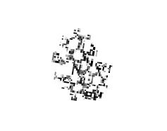 Oc1ccc(Br)cc1-c1nc2c(Br)c3ccccc3c(Br)c2nc1-c1cc(Br)ccc1O